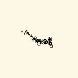 CCOCCOCCOC(=O)Nc1ccc(-c2[nH]c([C@@H]3CCc4cc(-c5cc(Cl)ccc5-n5cnnn5)cc(=O)n43)nc2Cl)cn1